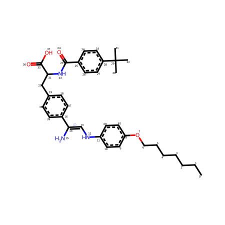 CCCCCCCOc1ccc(N/C=C(\N)c2ccc(CC(NC(=O)c3ccc(C(C)(C)C)cc3)C(=O)O)cc2)cc1